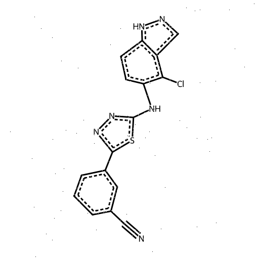 N#Cc1cccc(-c2nnc(Nc3ccc4[nH]ncc4c3Cl)s2)c1